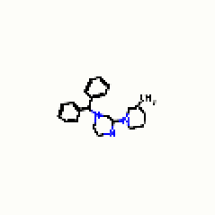 CC1CCCN(C2CN(C(c3ccccc3)c3ccccc3)CC[N]2)C1